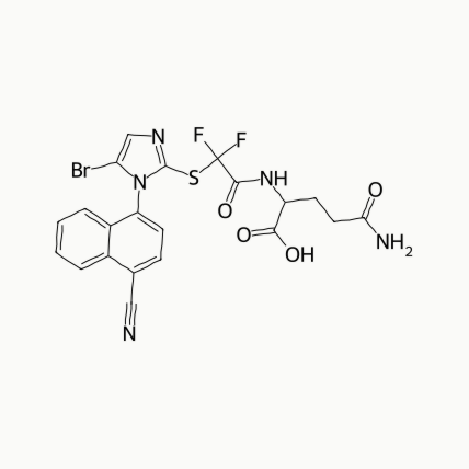 N#Cc1ccc(-n2c(Br)cnc2SC(F)(F)C(=O)NC(CCC(N)=O)C(=O)O)c2ccccc12